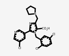 O=C(O)c1c(CN2CCCC2)nc(-c2cncc(Cl)c2)n1Cc1cc(Cl)ccc1Cl